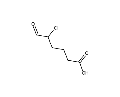 O=CC(Cl)CCCC(=O)O